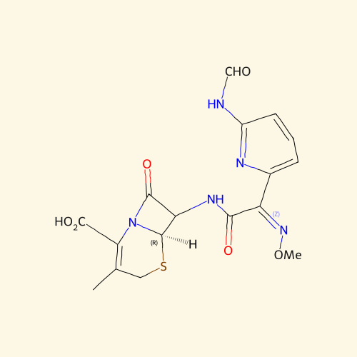 CO/N=C(\C(=O)NC1C(=O)N2C(C(=O)O)=C(C)CS[C@H]12)c1cccc(NC=O)n1